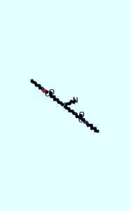 CCCCCC/C=C/COC(=O)CCCCCCCP(CCCCCCCC(=O)OC/C=C/CCCCCC)CCCCN(C)C